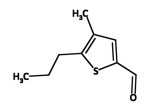 CCCc1sc(C=O)cc1C